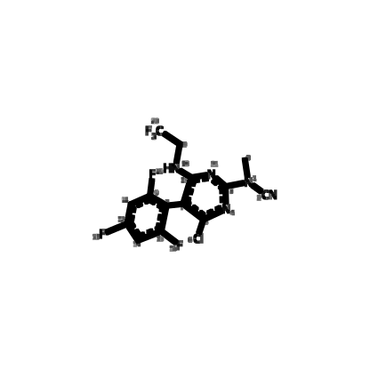 CN(C#N)c1nc(Cl)c(-c2c(F)cc(F)cc2F)c(NCC(F)(F)F)n1